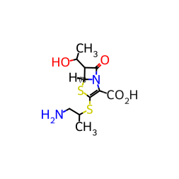 CC(CN)SC1=C(C(=O)O)N2C(=O)C(C(C)O)[C@H]2S1